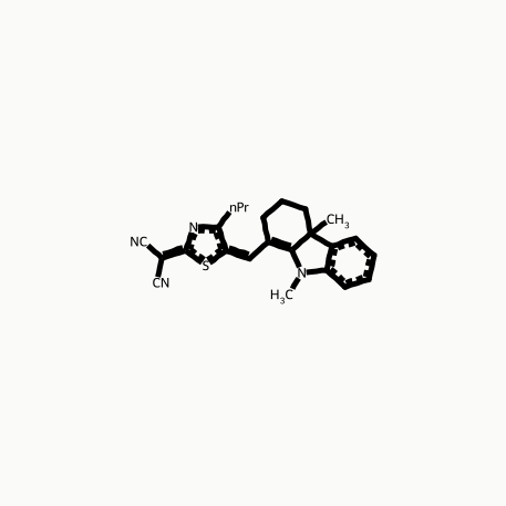 CCCc1nc(=C(C#N)C#N)s/c1=C/C1=C2N(C)c3ccccc3C2(C)CCC1